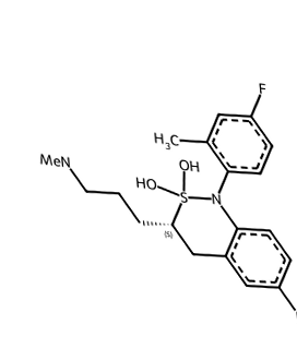 CNCCC[C@H]1Cc2cc(F)ccc2N(c2ccc(F)cc2C)S1(O)O